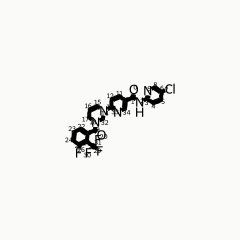 O=C(Nc1ccc(Cl)cn1)c1ccc(N2C=CCN(C(=O)c3cccc(F)c3C(F)(F)F)C2)nc1